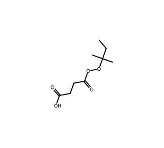 CCC(C)(C)OOC(=O)CCC(=O)O